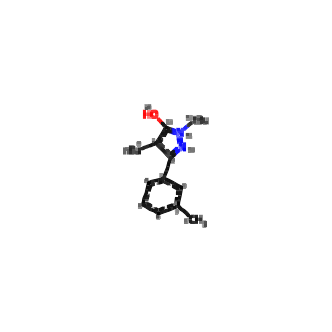 CCCCc1c(-c2cccc(C)c2)nn(C(C)(C)C)c1O